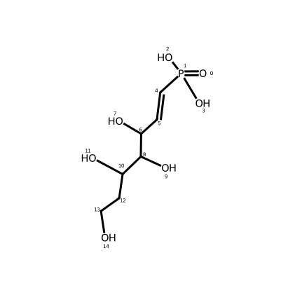 O=P(O)(O)C=CC(O)C(O)C(O)CCO